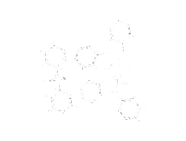 O=P(Oc1ccccc1)(Oc1ccccc1)OP(=O)(Oc1ccccc1)Oc1ccccc1.O=S(=O)(c1ccccc1)c1ccccc1